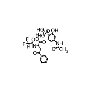 CC(=O)Nc1ccc([As](=O)(O)O)c(O)c1.O=C(CC(NC(=O)C(F)(F)F)C(=O)O)c1ccccc1